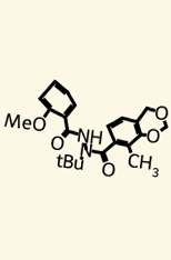 COc1ccccc1C(=O)NN(C(=O)c1ccc2c(c1C)OCOC2)C(C)(C)C